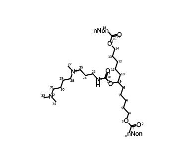 CCCCCCCCCC(=O)OCCCCCC(CCCCCOC(=O)CCCCCCCCC)OC(=O)NCCCN(C)CCCCN(C)C